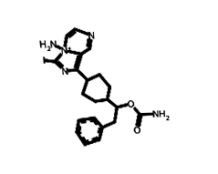 NC(=O)OC(Cc1ccccc1)C1CCC(C2=C3C=NC=C[N+]3(N)C(I)=N2)CC1